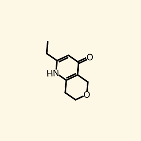 CCc1cc(=O)c2c([nH]1)CCOC2